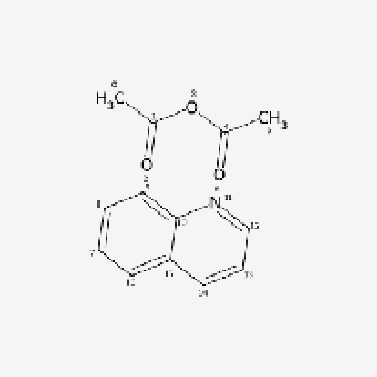 CC(=O)OC(C)=O.c1ccc2ncccc2c1